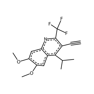 C#Cc1c(C(F)(F)F)nc2cc(OC)c(OC)cc2c1C(C)C